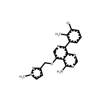 Cc1c(Cl)cccc1-c1ncc(OCc2ccn(C)n2)c2c(N)ncnc12